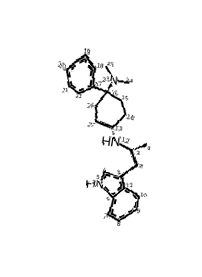 C[C@@H](Cc1c[nH]c2ccccc12)N[C@H]1CC[C@](c2ccccc2)(N(C)C)CC1